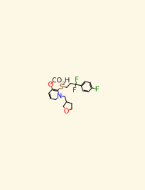 O=C(O)OC1=C(SCCC(F)(F)c2ccc(F)cc2)N(CC2CCOC2)CC=C1